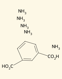 N.N.N.N.N.O=C(O)c1cccc(C(=O)O)c1